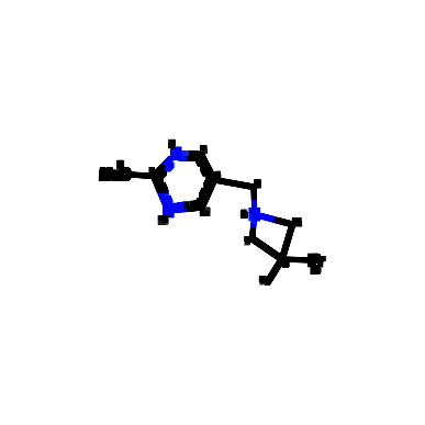 COc1ncc(CN2CC(C)(C(C)C)C2)cn1